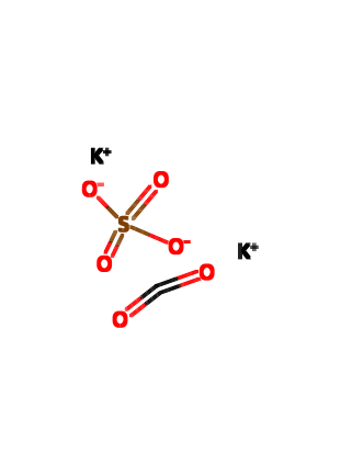 O=C=O.O=S(=O)([O-])[O-].[K+].[K+]